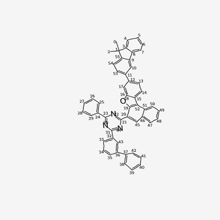 CC1(C)c2ccccc2-c2cc(-c3ccc4c(c3)oc3c(-c5nc(-c6ccccc6)nc(-c6cccc(-c7ccccc7)c6)n5)cc5ccccc5c34)ccc21